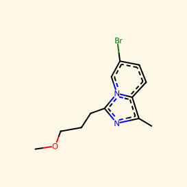 COCCCc1nc(C)c2ccc(Br)cn12